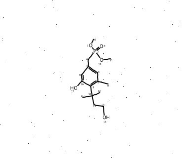 COP(=O)(Cc1cc(C)c(C(C)(C)CCO)c(O)c1)OC